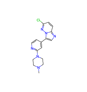 CN1CCN(c2cc(-c3cnc4ccc(Cl)nn34)ccn2)CC1